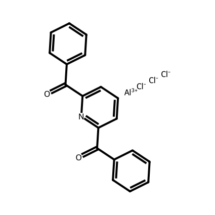 O=C(c1ccccc1)c1cccc(C(=O)c2ccccc2)n1.[Al+3].[Cl-].[Cl-].[Cl-]